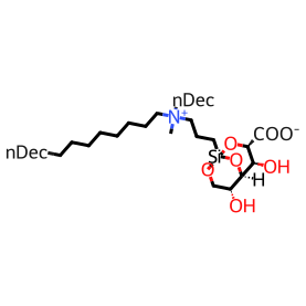 CCCCCCCCCCCCCCCCCC[N+](C)(CCCCCCCCCC)CCC[Si]12OC[C@@H](O)[C@@H](O1)[C@H](O)[C@H](C(=O)[O-])O2